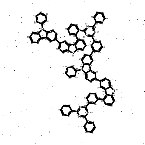 c1ccc(-c2nc(-c3ccccc3)nc(-c3cccc(-c4cccc5sc6ccc(-c7ccc8c(c7)c7cc(-c9cccc(-c%10nc(-c%11ccccc%11)nc(-c%11ccccc%11-c%11cccc%12sc%13ccc(-c%14ccc%15c(c%14)c%14ccccc%14n%15-c%14ccccc%14)cc%13c%11%12)n%10)c9)ccc7n8-c7ccccc7)cc6c45)c3)n2)cc1